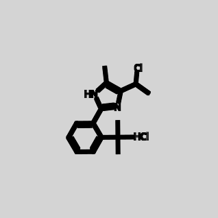 Cc1[nH]c(-c2ccccc2C(C)(C)C)nc1C(C)Cl.Cl